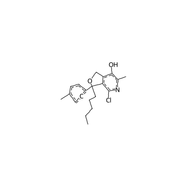 CCCCCC1(c2ccc(C)cc2)OCc2c(O)c(C)nc(Cl)c21